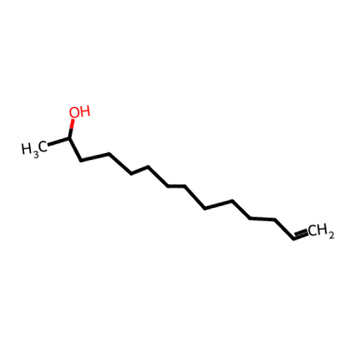 C=CCCCCCCCCCCC(C)O